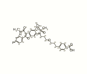 CNC(=O)c1c(-c2ccc(F)cc2)oc2cc(N(CCCOCCCc3ccc(C(=O)O)cc3)S(C)(=O)=O)c(C3CC3)cc12